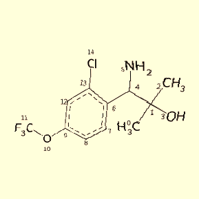 CC(C)(O)C(N)c1ccc(OC(F)(F)F)cc1Cl